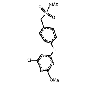 CNS(=O)(=O)Cc1ccc(Oc2cc(Cl)nc(OC)n2)cc1